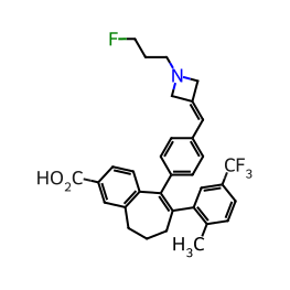 Cc1ccc(C(F)(F)F)cc1C1=C(c2ccc(C=C3CN(CCCF)C3)cc2)c2ccc(C(=O)O)cc2CCC1